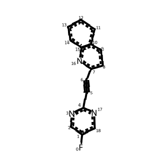 Fc1cnc(C#Cc2ccc3ccccc3n2)nc1